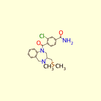 CSCC1CN(C(=O)c2ccc(C(N)=O)cc2Cl)c2ccccc2CN1C